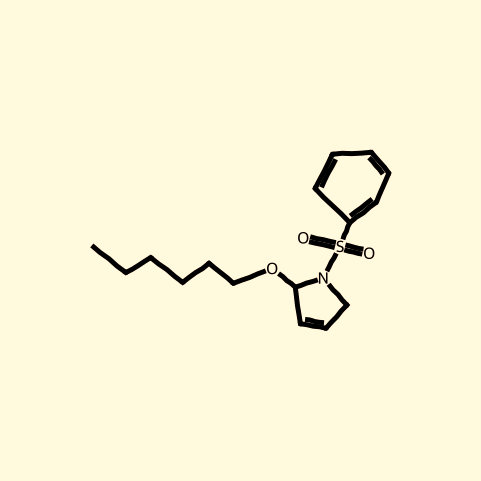 CCCCCCOC1C=CCN1S(=O)(=O)c1ccccc1